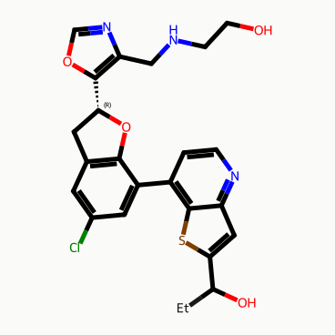 CCC(O)c1cc2nccc(-c3cc(Cl)cc4c3O[C@@H](c3ocnc3CNCCO)C4)c2s1